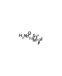 NC(=O)Cc1nc(C(F)F)cs1